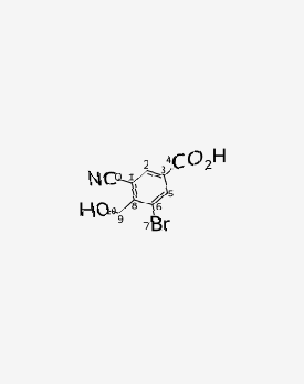 N#Cc1cc(C(=O)O)cc(Br)c1CO